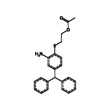 CC(=O)OCCSc1ccc(C(c2ccccc2)c2ccccc2)cc1N